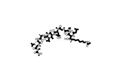 CC[C@H](NC(=O)C([C@H](O)[C@H](C)CCCCCCNC(C)=O)N(C)C(=O)CC(C)C)C(=O)N(C)CC(=O)N(C)[C@@H](CC(C)(C)O)C(=O)N[C@H](C(=O)N(C)[C@@H](CC(C)C)C(=O)N[C@H](C)C(=O)N[C@@H](C)C(=O)N(C)[C@@H](CC(C)C)C(=O)N(C)C(=O)NC)C(C)C